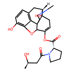 C[C@@H](O)CC(=O)N1CCC[C@H]1C(=O)OC1=CC[C@@]2(O)[C@H]3Cc4ccc(O)c5c4C2(CCN3C)C1O5